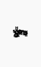 S=c1[nH]c2cc(CN3CCCC3)cn2c2ccsc12